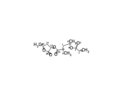 C=CC(=O)OC(C)CC(C)C(=O)OC1CC(C)OC1=O